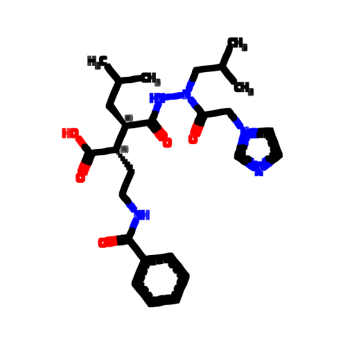 CC(C)C[C@@H](C(=O)NN(CC(C)C)C(=O)Cn1ccnc1)[C@H](CCNC(=O)c1ccccc1)C(=O)O